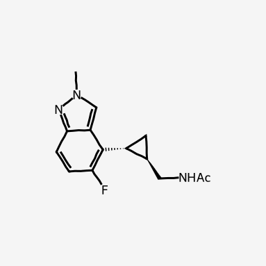 CC(=O)NC[C@@H]1C[C@H]1c1c(F)ccc2nn(C)cc12